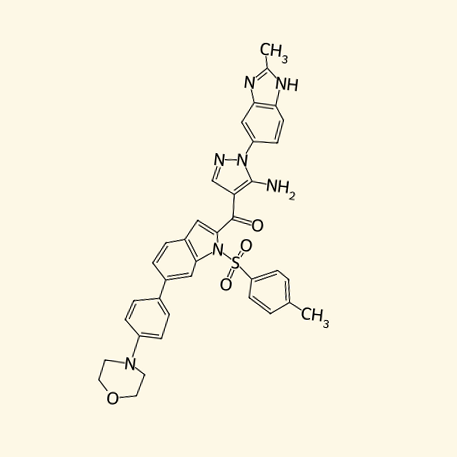 Cc1ccc(S(=O)(=O)n2c(C(=O)c3cnn(-c4ccc5[nH]c(C)nc5c4)c3N)cc3ccc(-c4ccc(N5CCOCC5)cc4)cc32)cc1